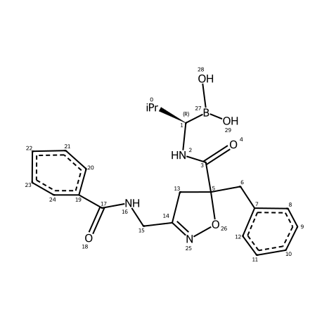 CC(C)[C@H](NC(=O)C1(Cc2ccccc2)CC(CNC(=O)c2ccccc2)=NO1)B(O)O